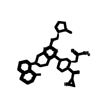 Cc1cccc2cccc(N3CCc4c(nc(OC[C@@H]5CCCN5C)nc4N4CCN(C(=O)C5CN5)[C@@H](CC(N)=O)C4)C3)c12